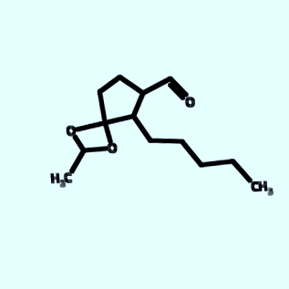 CCCCCC1C(C=O)CCC12OC(C)O2